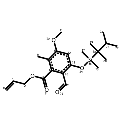 C=CCOC(=O)c1c(C)c(OC)cc(O[Si](C)(C)C(C)(C)C(C)C)c1C=O